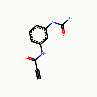 C#CC(=O)Nc1cccc(NC(=O)CC)c1